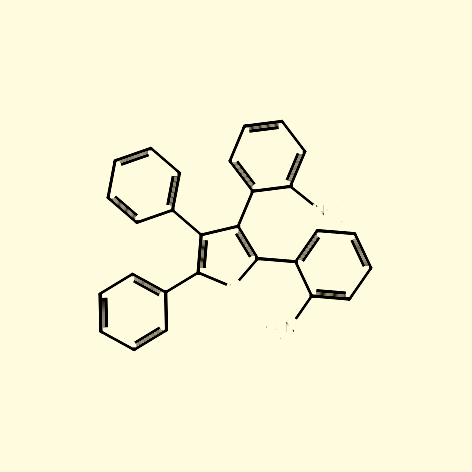 O=[N+]([O-])c1ccccc1-c1sc(-c2ccccc2)c(-c2ccccc2)c1-c1ccccc1[N+](=O)[O-]